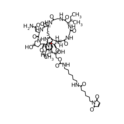 CC[C@H](C)[C@@H]1NC(=O)CNC(=O)[C@@H]2Cc3c([nH]c4cc(OC)ccc34)SC[C@@H](NC(=O)CNC1=O)C(=O)NC(CC(N)=O)C(=O)N1C[C@H](O)CC1C(=O)N[C@H]([C@@H](C)[C@@H](O)COC(=O)NCCCCCCNC(=O)CCCCCN1C(=O)C=CC1=O)C(=O)N2